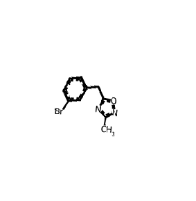 Cc1noc(Cc2cccc(Br)c2)n1